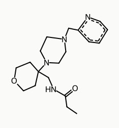 CCC(=O)NCC1(N2CCN(Cc3ccccn3)CC2)CCOCC1